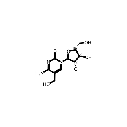 Nc1nc(=O)n(C2O[C@H](CO)[C@@H](O)[C@@H]2O)cc1CO